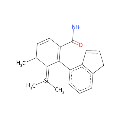 CC1C=CC(C([NH])=O)=C(c2cccc3c2C=CC3)C1=[Si](C)C